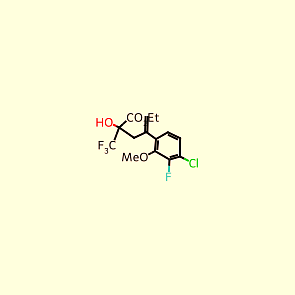 C=C(CC(O)(C(=O)OCC)C(F)(F)F)c1ccc(Cl)c(F)c1OC